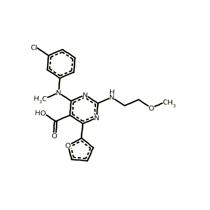 COCCNc1nc(-c2ccco2)c(C(=O)O)c(N(C)c2cccc(Cl)c2)n1